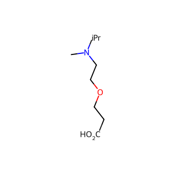 CC(C)N(C)CCOCCC(=O)O